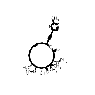 Cc1nc(C#CC2C/C=C\CCC[C@H](C)[C@H](OP)[C@@H](C)C(=O)C(C)(C)[C@@H](OP)CC(=O)O2)cs1